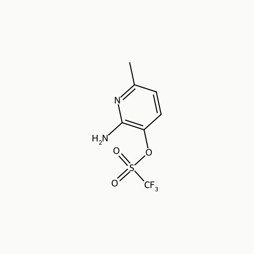 Cc1ccc(OS(=O)(=O)C(F)(F)F)c(N)n1